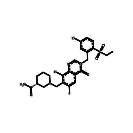 CCS(=O)(=O)c1ccc(Cl)cc1Cn1cnc2c(Cl)c(CN3CCC[C@@H](C(N)=O)C3)c(F)cc2c1=O